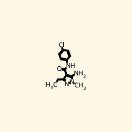 CCc1nn(C)c(N)c1C(=O)Nc1ccc(Cl)cc1